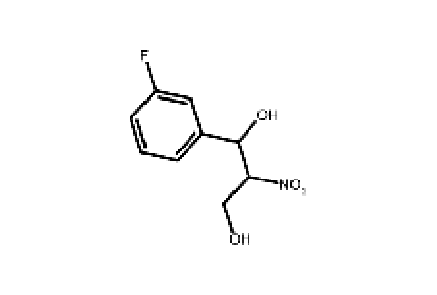 O=[N+]([O-])C(CO)C(O)c1cccc(F)c1